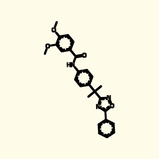 COc1ccc(C(=O)Nc2ccc(C(C)(C)c3noc(-c4ccccc4)n3)cc2)cc1OC